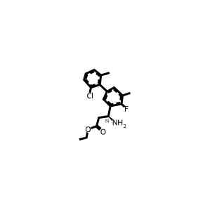 CCOC(=O)C[C@H](N)c1cc(-c2c(C)cccc2Cl)cc(C)c1F